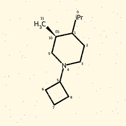 CC(C)C1CCN(C2CCC2)C[C@H]1C